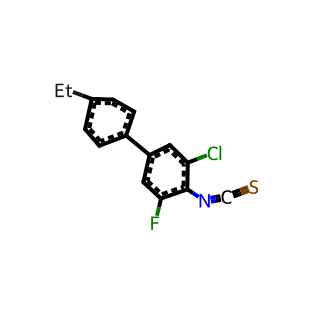 CCc1ccc(-c2cc(F)c(N=C=S)c(Cl)c2)cc1